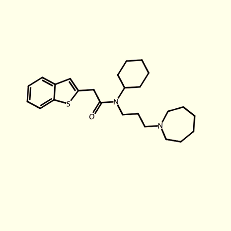 O=C(Cc1cc2ccccc2s1)N(CCCN1CCCCCC1)C1CCCCC1